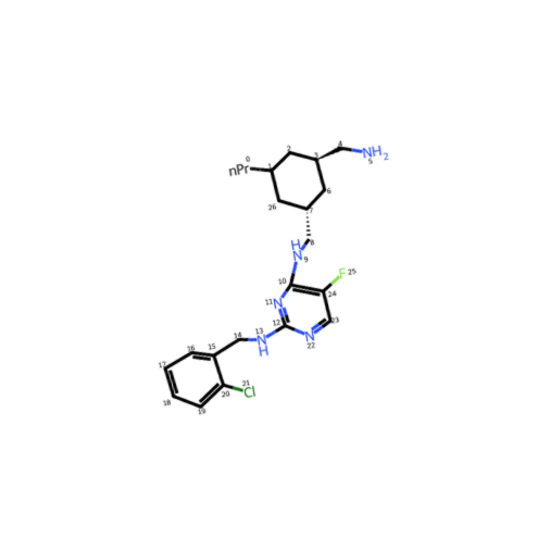 CCCC1C[C@@H](CN)C[C@H](CNc2nc(NCc3ccccc3Cl)ncc2F)C1